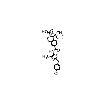 Cc1nc(Cc2ccc(Cl)cc2)sc1NC(=O)c1ccc2c(c1)CCN(C(=O)O)C2C(C)(C)C